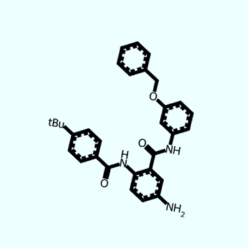 CC(C)(C)c1ccc(C(=O)Nc2ccc(N)cc2C(=O)Nc2cccc(OCc3ccccc3)c2)cc1